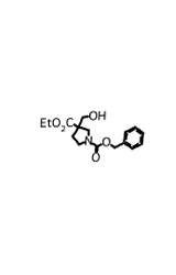 CCOC(=O)C1(CO)CCN(C(=O)OCc2ccccc2)C1